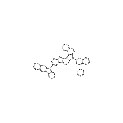 c1ccc(-c2nc(-n3c4ccc5ccccc5c4c4c5oc6ccc(-n7c8ccccc8c8cc9ccccc9cc87)cc6c5ccc43)nc3ccccc23)cc1